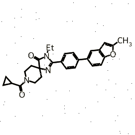 CCN1C(=O)C2(CCN(C(=O)C3CC3)CC2)N=C1c1ccc(-c2ccc3oc(C)cc3c2)cc1